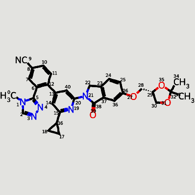 Cn1cnnc1-c1cc(C#N)ccc1-c1cc(C2CC2)nc(N2Cc3ccc(OC[C@H]4COC(C)(C)O4)cc3C2=O)c1